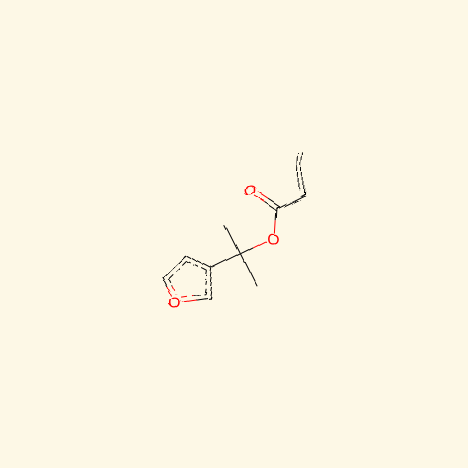 C=CC(=O)OC(C)(C)c1ccoc1